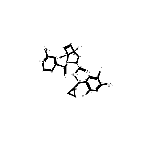 Cc1cc(C(=O)N2[C@@H](C(=O)N[C@@H](c3cc(F)c(C(F)(F)F)cc3F)C3CC3)C[C@H]3C=C[C@H]32)ccn1